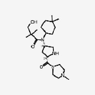 CN1CCN(C(=O)[C@@H]2C[C@H](N(C(=O)C(C)(C)CO)C3CCC(C)(C)CC3)CN2)CC1